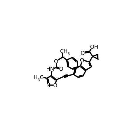 Cc1noc(C#Cc2ccc3cc(C4(C(=O)O)CC4)oc3c2)c1NC(=O)OC(C)c1ccccc1